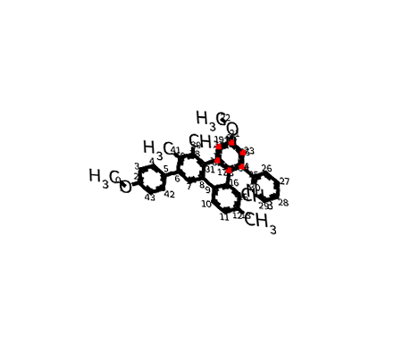 COc1ccc(-c2[c]c(-c3ccc(C)c(C)c3-c3ccc(OC)cc3-c3ccccn3)c(-c3cccnc3)c(C)c2C)cc1